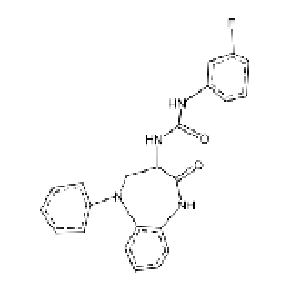 O=C(Nc1cccc(F)c1)NC1CN(c2ccccc2)c2ccccc2NC1=O